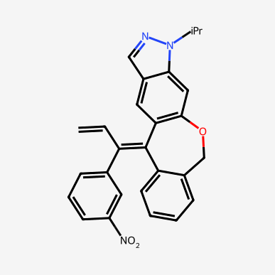 C=CC(=C1c2ccccc2COc2cc3c(cnn3C(C)C)cc21)c1cccc([N+](=O)[O-])c1